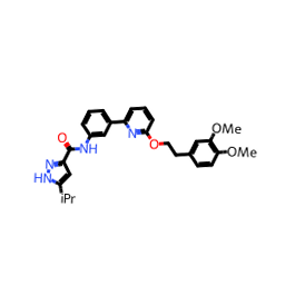 COc1ccc(CCOc2cccc(-c3cccc(NC(=O)c4cc(C(C)C)[nH]n4)c3)n2)cc1OC